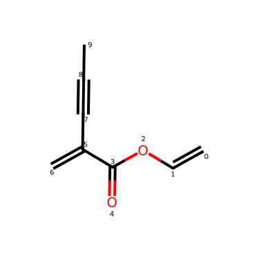 C=COC(=O)C(=C)C#CC